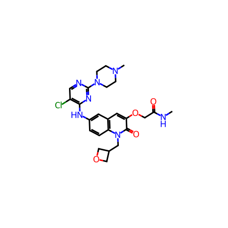 CNC(=O)COc1cc2cc(Nc3nc(N4CCN(C)CC4)ncc3Cl)ccc2n(CC2COC2)c1=O